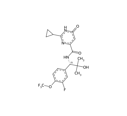 CC(C)(O)[C@@H](NC(=O)c1cc(=O)[nH]c(C2CC2)n1)c1ccc(OC(F)(F)F)c(F)c1